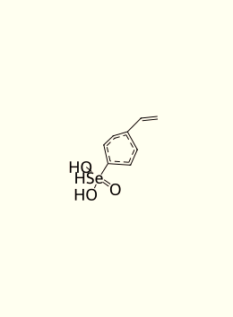 C=Cc1ccc([SeH](=O)(O)O)cc1